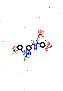 CCS(=O)(=O)c1ccc(C(COCC(=O)O)NC(=O)c2ccc3c(c2)nc(C(F)(F)F)n3Cc2cccc3c2OC(F)(F)O3)cc1